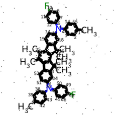 Cc1ccc(N(c2ccc(F)cc2)c2ccc3c(c2)C(C)(C)c2c-3c(C)c(C)c3c2C(C)(C)c2cc(N(c4ccc(C)cc4)c4ccc(F)cc4)ccc2-3)cc1